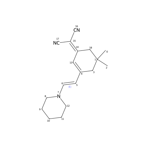 CC1(C)CC(/C=C/N2CCCCC2)=CC(=C(C#N)C#N)C1